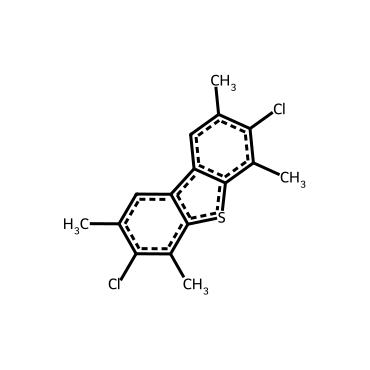 Cc1cc2c(sc3c(C)c(Cl)c(C)cc32)c(C)c1Cl